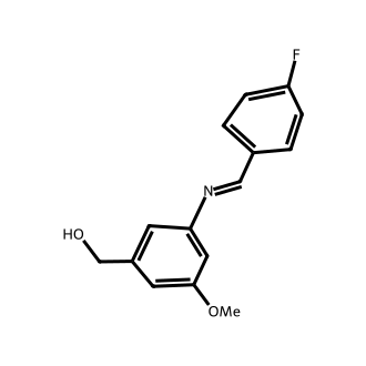 COc1cc(CO)cc(N=Cc2ccc(F)cc2)c1